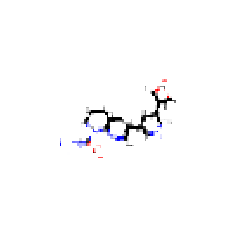 NC(=O)N1CCCc2cc(-c3cncc(C4COC4)c3)cnc21